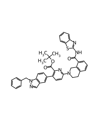 CC(C)(C)OC(=O)c1nc(N2CCc3cccc(C(=O)Nc4nc5ccccc5s4)c3C2)ccc1-c1ccc2c(cnn2Cc2ccccc2)c1